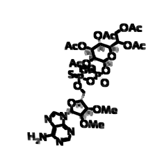 CO[C@@H]1[C@H](OC)[C@@H](COP(O)(=S)OP(=O)(O)O[C@@H]2O[C@H](C(COC(C)=O)OC(C)=O)[C@@H](OC(C)=O)[C@H](OC(C)=O)[C@@H]2OC(C)=O)O[C@H]1n1cnc2c(N)ncnc21